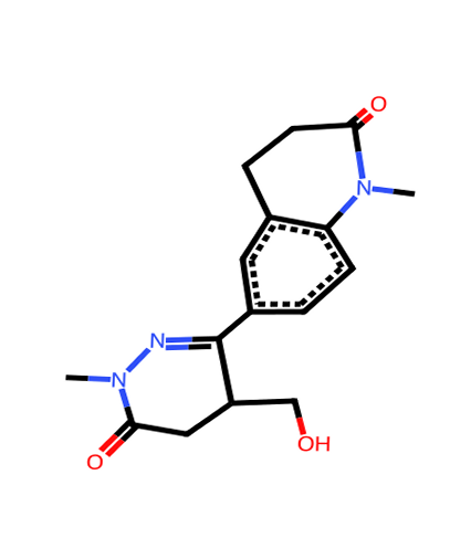 CN1N=C(c2ccc3c(c2)CCC(=O)N3C)C(CO)CC1=O